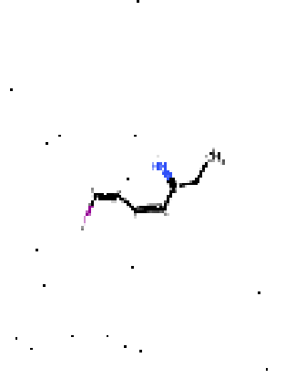 CCC(=N)/C=C\C=C/I